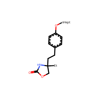 CCCCCCCOc1ccc(CCC2(CC)COC(=O)N2)cc1